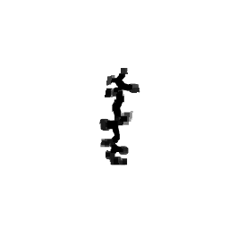 CC(C)(C)OC(=O)NCC(=O)N(F)CCNC(=O)C(F)F